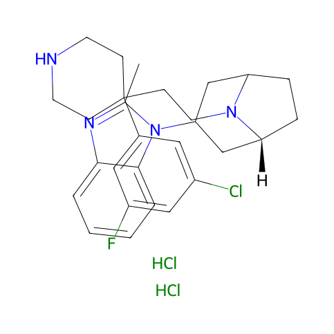 Cc1nc2ccccc2n1C1CC2CC[C@H](C1)N2CCC1(c2cc(F)cc(Cl)c2)CCNCC1.Cl.Cl